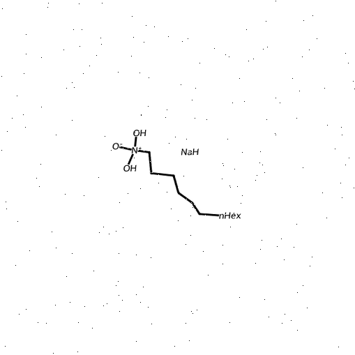 CCCCCCCCCCCC[N+]([O-])(O)O.[NaH]